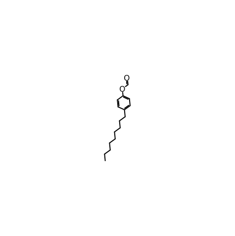 CCCCCCCCCc1ccc(OC=O)cc1